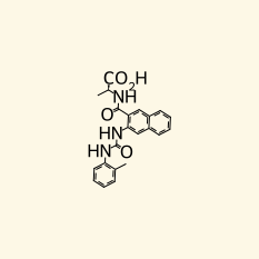 Cc1ccccc1NC(=O)Nc1cc2ccccc2cc1C(=O)N[C@@H](C)C(=O)O